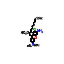 CCCCCCCCCCCCCCCCCCC(CC1c2ccc(N(CCCC)CCCC)cc2Oc2cc(N)c(Cl)cc21)C(=O)O